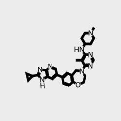 Cc1c(NC2CCN(C)CC2)ncnc1N1CCOc2ccc(-c3cnc4nc(C5CC5)[nH]c4c3)cc2C1